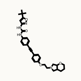 CC(C)(C)c1cc(NC(=O)Nc2ccc(C#Cc3ccc(OCCN4CC5CCCOC5C4)cc3)cc2)no1